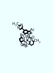 C=C1CCC(C)[C@@H](C(=O)Nc2nc(Br)ccc2C)N1C(=O)Cn1nc(C(C)=O)c2cc(-c3cnc(C)nc3)cc(C)c21